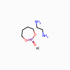 NCCN.O=[PH]1OCCCCO1.[Al]